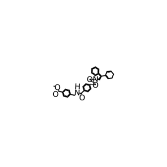 COC(=O)c1ccc(CNC(=O)c2ccc(S(=O)(=O)n3cc(C4=CCCC=C4)c4ccccc43)cc2)cc1